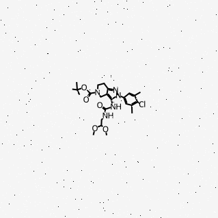 COC(CNC(=O)Nc1c2c(nn1-c1cc(C)c(Cl)c(C)c1)CCN(C(=O)OC(C)(C)C)C2)OC